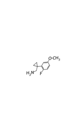 COc1ccc(F)c(C2(CN)CC2)c1